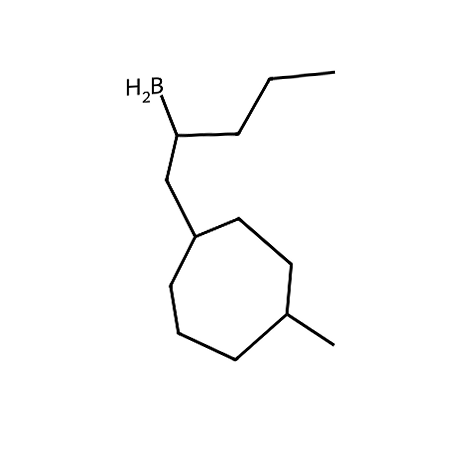 BC(CCC)CC1CCCC(C)CC1